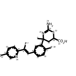 CC1(c2cc(/C=C(\F)c3ccc(Cl)cn3)ccc2F)CC(C(=O)O)SC(N)=N1